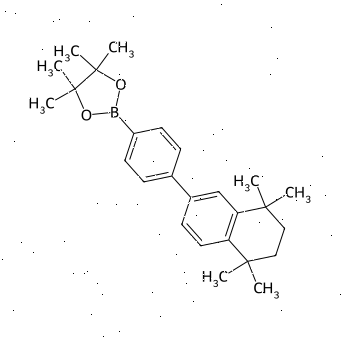 CC1(C)CCC(C)(C)c2cc(-c3ccc(B4OC(C)(C)C(C)(C)O4)cc3)ccc21